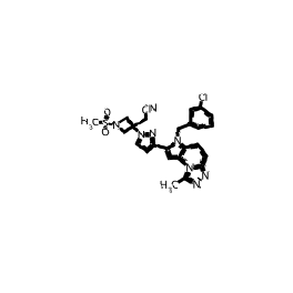 Cc1nnc2ccc3c(cc(-c4ccn(C5(CC#N)CN(S(C)(=O)=O)C5)n4)n3Cc3cccc(Cl)c3)n12